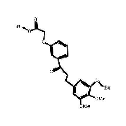 COc1cc(CCC(=O)c2cccc(OCC(=O)OC(C)(C)C)c2)cc(OC(C)(C)C)c1OC